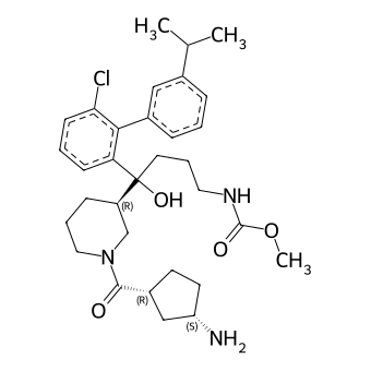 COC(=O)NCCCC(O)(c1cccc(Cl)c1-c1cccc(C(C)C)c1)[C@@H]1CCCN(C(=O)[C@@H]2CC[C@H](N)C2)C1